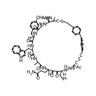 CN[C@]1(C)CSCc2ccc(cc2)-c2ccc(cc2)CSC[C@@](C)(C(C)=O)NN[C@@H](CC(C)C)C(=O)C(=O)[C@H](CCC(N)=O)NC(=O)C(C)NC(=O)[C@@H](Cc2c[nH]c3ccccc23)NC(=O)[C@H](Cc2ccc(O)cc2)NC(=O)C(C)NC1=O